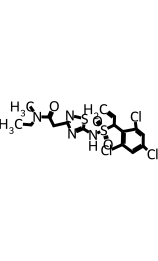 C=CC(c1c(Cl)cc(Cl)cc1Cl)S(=O)(=O)Nc1nc(CC(=O)N(C)CC)ns1